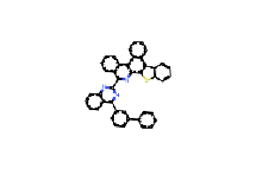 C1=CC2Sc3c(c4ccccc4c4c3nc(-c3nc(-c5cccc(-c6ccccc6)c5)c5ccccc5n3)c3ccccc34)C2C=C1